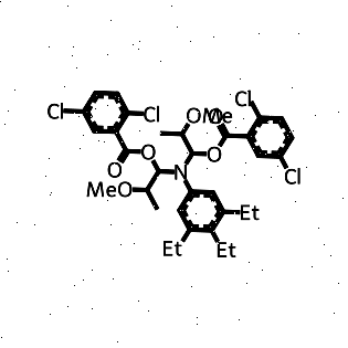 CCc1cc(N(C(OC(=O)c2cc(Cl)ccc2Cl)C(C)OC)C(OC(=O)c2cc(Cl)ccc2Cl)C(C)OC)cc(CC)c1CC